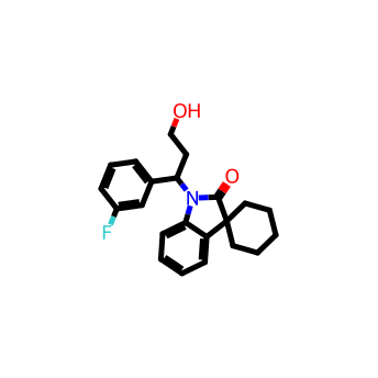 O=C1N(C(CCO)c2cccc(F)c2)c2ccccc2C12CCCCC2